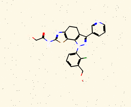 COCc1cccc(-n2nc(-c3cccnc3)c3c2-c2sc(NC(=O)CO)nc2CC3)c1F